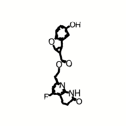 O=C1CCc2c(F)cc(CCOC(=O)C3C4Oc5ccc(O)cc5C43)nc2N1